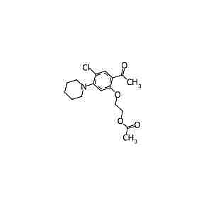 CC(=O)OCCOc1cc(N2CCCCC2)c(Cl)cc1C(C)=O